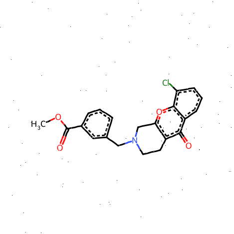 COC(=O)c1cccc(CN2CCc3c(oc4c(Cl)cccc4c3=O)C2)c1